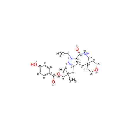 CCn1nc(CC(C)(C)COC(=O)c2ccc(O)cc2)c2c1C(=O)NCC1(CCOCC1)C2